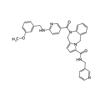 COc1cccc(CNc2ccc(C(=O)N3Cc4ccc(C(=O)NCc5cccnc5)n4Cc4ccccc43)cn2)c1